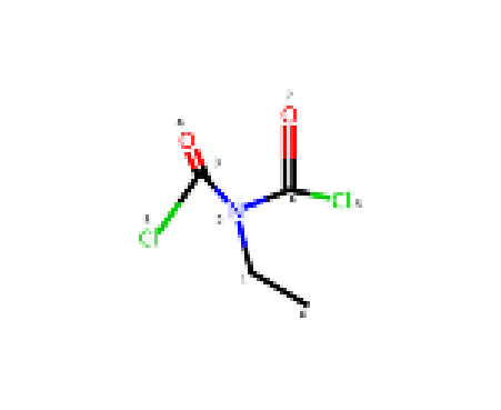 CCN(C(=O)Cl)C(=O)Cl